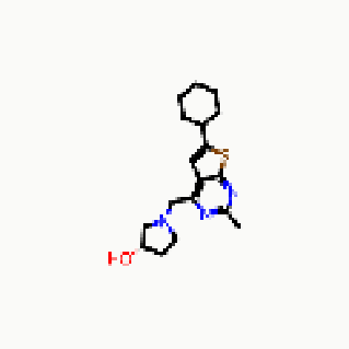 Cc1nc(CN2CC[C@H](O)C2)c2cc(C3CCCCC3)sc2n1